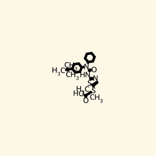 CC(C)(Sc1cnc(NC(=O)N(C2CCCCC2)C2CCC(C(C)(C)C)CC2)s1)C(=O)O